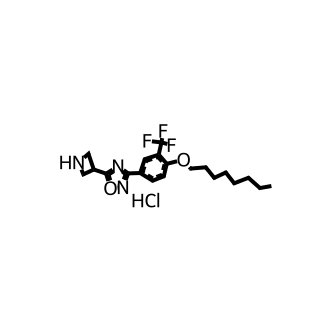 CCCCCCCCOc1ccc(-c2noc(C3CNC3)n2)cc1C(F)(F)F.Cl